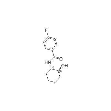 O=C(N[C@H]1CCCC[C@@H]1O)c1ccc(F)cc1